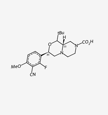 COc1ccc([C@@H]2CN3CCN(C(=O)O)C[C@H]3C(C(C)(C)C)O2)c(F)c1C#N